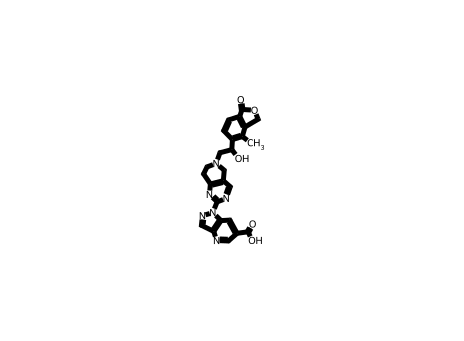 Cc1c(C(O)CN2CCc3nc(-n4ncc5ncc(C(=O)O)cc54)ncc3C2)ccc2c1COC2=O